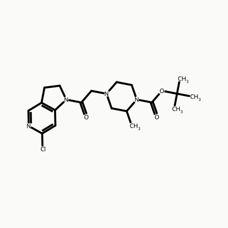 CC1CN(CC(=O)N2CCc3cnc(Cl)cc32)CCN1C(=O)OC(C)(C)C